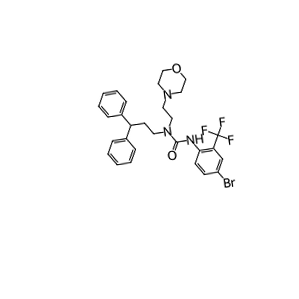 O=C(Nc1ccc(Br)cc1C(F)(F)F)N(CCC(c1ccccc1)c1ccccc1)CCN1CCOCC1